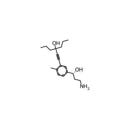 CCCC(O)(C#Cc1cc([C@H](O)CCN)ccc1C)CCC